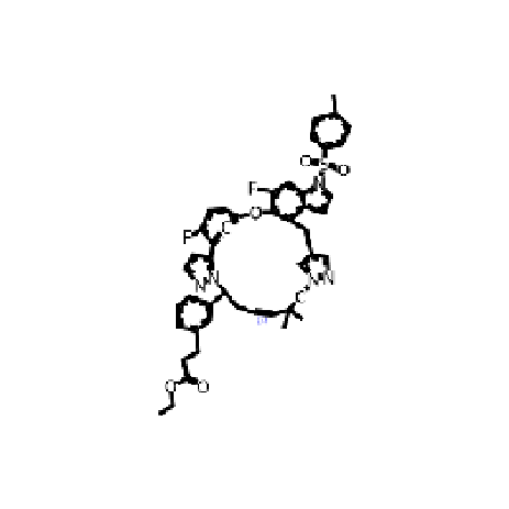 CCOC(=O)CCc1cccc(C2C/C=C\C(C)(C)Cn3cc(cn3)Cc3c(c(F)cc4c3ccn4S(=O)(=O)c3ccc(C)cc3)Oc3ccc(F)c(c3)-c3ccnn32)c1